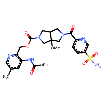 COC12CN(C(=O)OCc3ncc(C(F)(F)F)cc3NC(=O)C(C)(C)C)CC1CN(C(=O)c1ccc(S(N)(=O)=O)cn1)C2